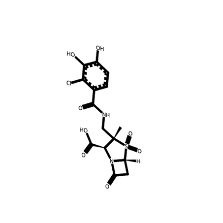 C[C@]1(CNC(=O)c2ccc(O)c(O)c2Cl)[C@H](C(=O)O)N2C(=O)C[C@H]2S1(=O)=O